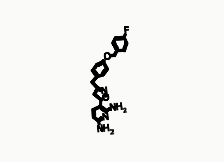 Nc1ccc(C2CC(Cc3ccc(OCc4ccc(F)cc4)cc3)=NO2)c(N)n1